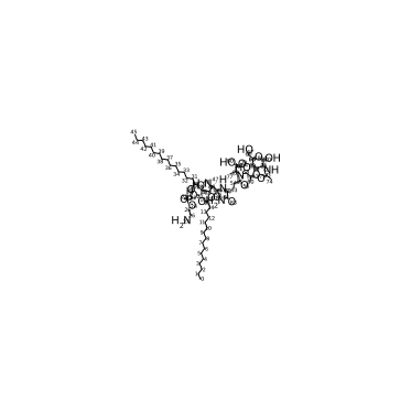 CCCCCCCCCCCCCCCC(=O)OC([C@H](CO[PH](=O)OCCN)OC(=O)CCCCCCCCCCCCCCC)[C@@](C)(N)C(=O)N[C@H](CCC(=O)N(CC(C)O[C@H]1[C@H](O)[C@@H](CO)O[C@H](O)[C@@H]1NC(C)=O)[C@@H](C)C(=O)O)C(N)=O